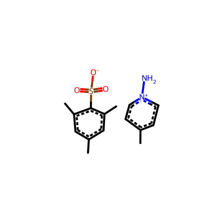 Cc1cc(C)c(S(=O)(=O)[O-])c(C)c1.Cc1cc[n+](N)cc1